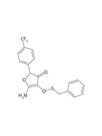 NC1=C(OSCc2ccccc2)C(=O)C(c2ccc(C(F)(F)F)cc2)O1